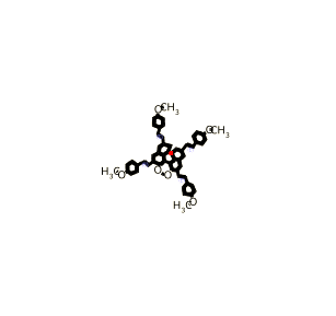 COc1ccc(/C=C/c2ccc3c4c(c(/C=C/c5ccc(OC)cc5)cc3c2)OCOc2c(/C=C/c3ccc(OC)cc3)cc3cc(/C=C/c5ccc(OC)cc5)ccc3c2-4)cc1